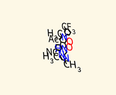 CC(=O)C1=C(C)N(c2cccc(C(F)(F)F)c2)C(=O)C(C(=O)NCc2nc(C)cc(C)n2)C1c1ccc(C#N)cc1